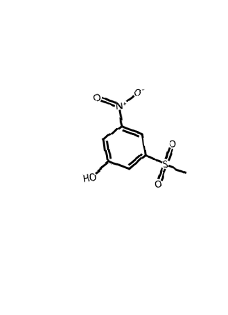 CS(=O)(=O)c1cc(O)cc([N+](=O)[O-])c1